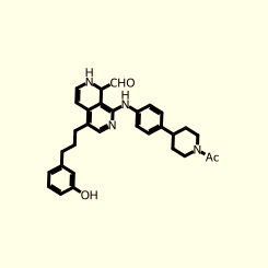 CC(=O)N1CCC(c2ccc(Nc3ncc(CCCc4cccc(O)c4)c4c3C(C=O)NC=C4)cc2)CC1